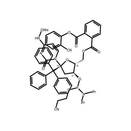 CONc1ccn([C@@]2(C(c3ccccc3)(c3ccccc3)c3ccccc3)C[C@H](OP(OCCC#N)N(C(C)C)C(C)C)[C@@H](COC(=O)c3ccccc3C(=O)Oc3ccccc3C#N)O2)c(=O)n1